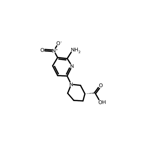 Nc1nc(N2CCC[C@@H](C(=O)O)C2)ccc1[N+](=O)[O-]